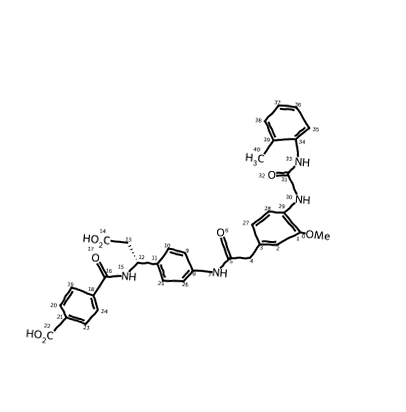 COc1cc(CC(=O)Nc2ccc([C@@H](CC(=O)O)NC(=O)c3ccc(C(=O)O)cc3)cc2)ccc1NC(=O)Nc1ccccc1C